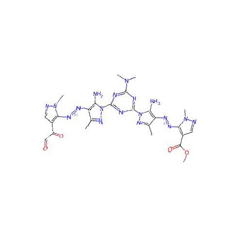 COC(=O)c1cnn(C)c1/N=N/c1c(C)nn(-c2nc(N(C)C)nc(-n3nc(C)c(/N=N/c4c(C(=O)C=O)cnn4C)c3N)n2)c1N